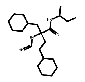 CCC(C)NC(=O)[C@@](CCC1CCCCC1)(CC1CCCCC1)NC=N